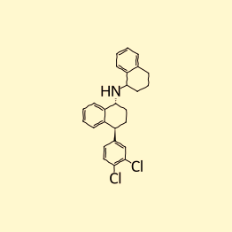 Clc1ccc([C@@H]2CC[C@@H](NC3CCCc4ccccc43)c3ccccc32)cc1Cl